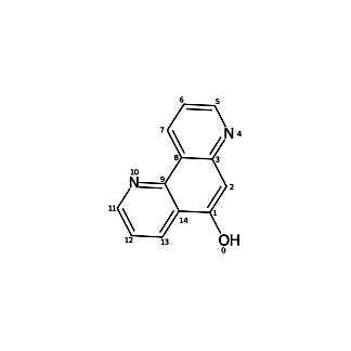 Oc1cc2ncccc2c2ncccc12